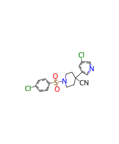 N#CC1(c2cncc(Cl)c2)CCN(S(=O)(=O)c2ccc(Cl)cc2)CC1